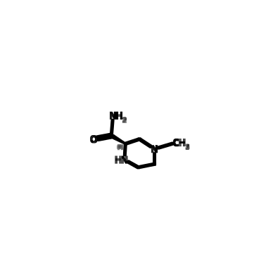 CN1CCN[C@@H](C(N)=O)C1